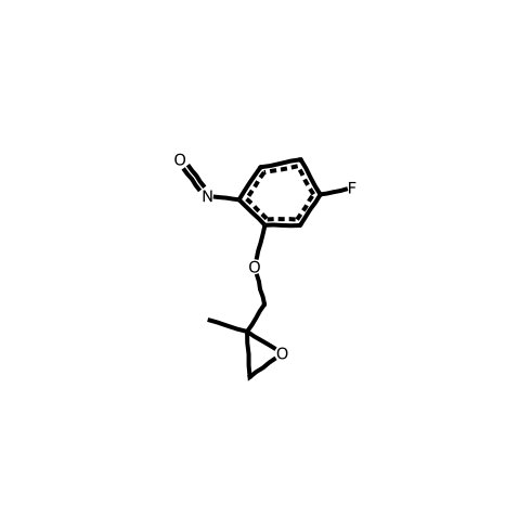 CC1(COc2cc(F)ccc2N=O)CO1